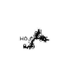 C=C(CCC1CO1)C(=O)OCCCC(=CC=C(CCS(=O)(=O)c1ccc(C)cc1)C(=O)OC(=O)C(=C)CC)C(=O)O